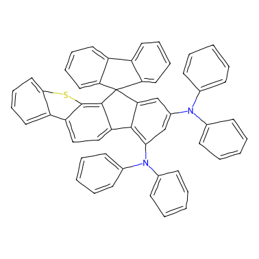 c1ccc(N(c2ccccc2)c2cc(N(c3ccccc3)c3ccccc3)c3c(c2)C2(c4ccccc4-c4ccccc42)c2c-3ccc3c2sc2ccccc23)cc1